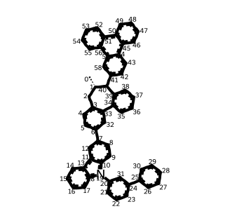 C[C@H]1Cc2ccc(-c3ccc4c(c3)c3ccccc3n4-c3cccc(-c4ccccc4)c3)cc2-c2ccccc2C1c1ccc2c3ccccc3c3ccccc3c2c1